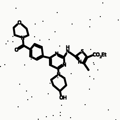 CCOC(=O)c1sc(Nc2nc(-c3ccc(C(=O)N4CCOCC4)cc3)cc(N3CCC(O)CC3)n2)nc1C